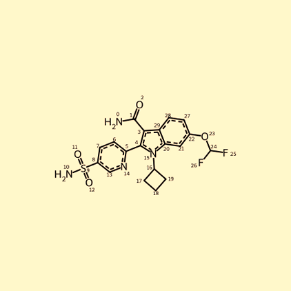 NC(=O)c1c(-c2ccc(S(N)(=O)=O)cn2)n(C2CCC2)c2cc(OC(F)F)ccc12